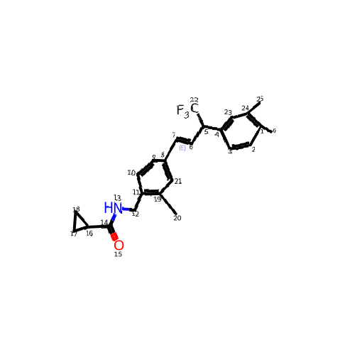 Cc1ccc(C(/C=C/c2ccc(CNC(=O)C3CC3)c(C)c2)C(F)(F)F)cc1C